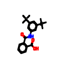 C[Si](C)(C)c1cc(NC(=O)c2ccccc2C(=O)O)cc([Si](C)(C)C)c1